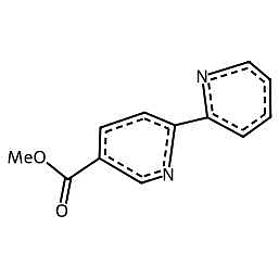 COC(=O)c1ccc(-c2ccccn2)nc1